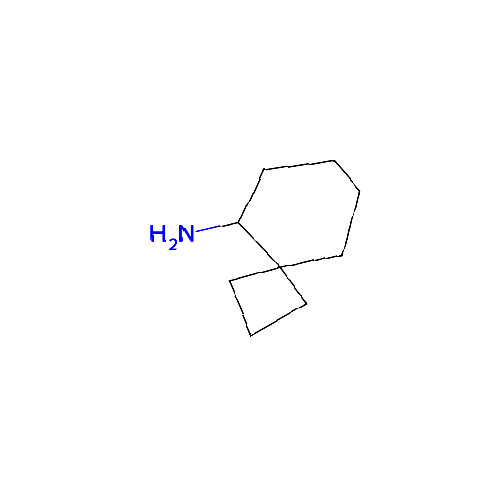 NC1CCCCC12CCC2